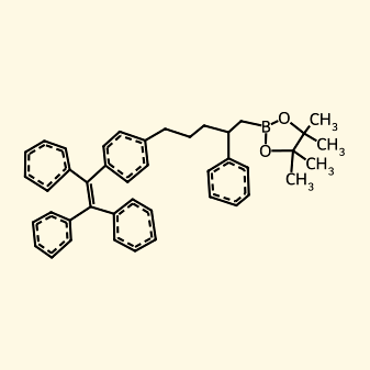 CC1(C)OB(CC(CCCc2ccc(C(=C(c3ccccc3)c3ccccc3)c3ccccc3)cc2)c2ccccc2)OC1(C)C